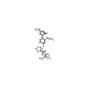 COc1cc(C[C@H]2CCCN2C(=O)OC(C)(C)C)ccc1-c1cc(N)n[nH]1